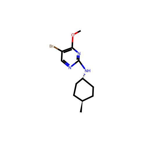 COc1nc(N[C@H]2CC[C@H](C)CC2)ncc1Br